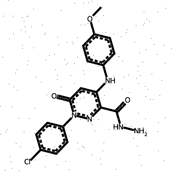 COc1ccc(Nc2cc(=O)n(-c3ccc(Cl)cc3)nc2C(=O)NN)cc1